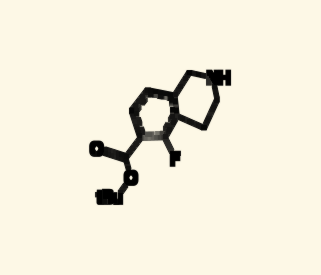 CC(C)(C)OC(=O)c1ccc2c(c1F)CCNC2